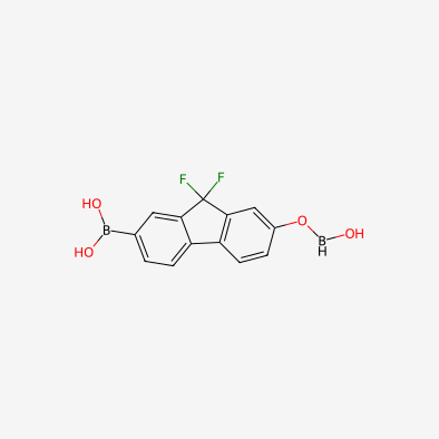 OBOc1ccc2c(c1)C(F)(F)c1cc(B(O)O)ccc1-2